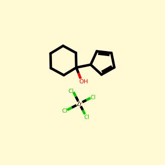 OC1(C2C=CC=C2)CCCCC1.[Cl][Zr]([Cl])([Cl])[Cl]